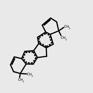 CC1(C)CC=Cc2cc3c(cc21)Cc1cc2c(cc1-3)C=CCC2(C)C